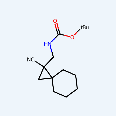 CC(C)(C)OC(=O)NCC1(C#N)CC12CCCCC2